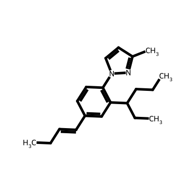 CC/C=C/c1ccc(-n2ccc(C)n2)c(C(CC)CCC)c1